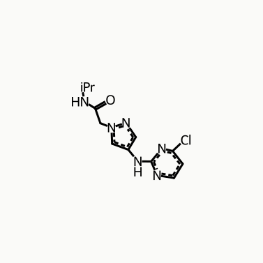 CC(C)NC(=O)Cn1cc(Nc2nccc(Cl)n2)cn1